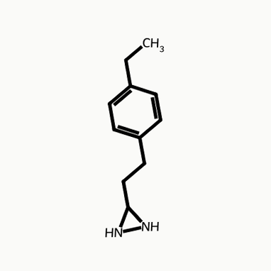 CCc1ccc(CCC2NN2)cc1